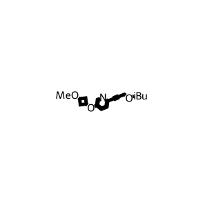 CCC(C)OCC#Cc1ccc(OC2CC(OC)C2)cn1